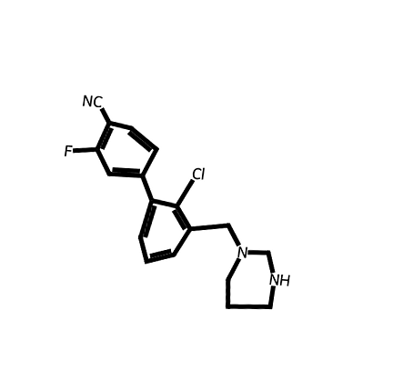 N#Cc1ccc(-c2cccc(CN3CCCNC3)c2Cl)cc1F